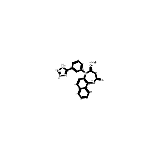 O=C1CC(=O)N(c2cccc(-c3nnn[nH]3)c2)c2ccc3ccccc3c2N1.[NaH]